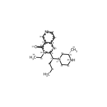 CCC[C@@H](c1nc2ccncc2c(=O)n1CC)N1CCN[C@@H](C)C1